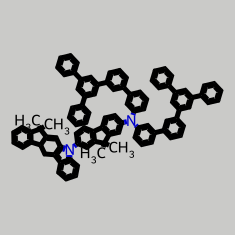 CC1(C)C2=Cc3c(c4ccccc4n3-c3ccc4c(c3)C(C)(C)c3cc(N(c5cccc(-c6cccc(-c7cc(-c8ccccc8)cc(-c8ccccc8)c7)c6)c5)c5cccc(-c6cccc(-c7cc(-c8ccccc8)cc(-c8ccccc8)c7)c6)c5)ccc3-4)CC2c2ccccc21